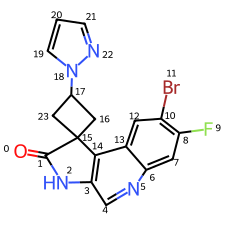 O=C1Nc2cnc3cc(F)c(Br)cc3c2C12CC(n1cccn1)C2